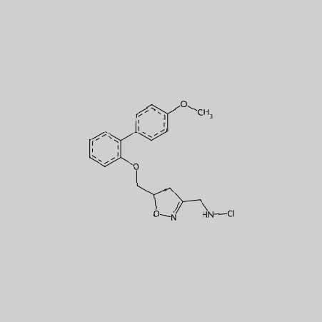 COc1ccc(-c2ccccc2OCC2CC(CNCl)=NO2)cc1